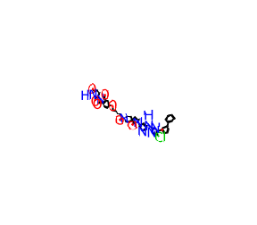 O=C1CCC(N2C(=O)c3ccc(OCCCCC(=O)N4CCC5(CC4)CCN(c4cncc(Nc6ncc(Cl)c(-c7cccc(-c8ccccc8)c7)n6)c4)C5=O)cc3C2=O)C(=O)N1